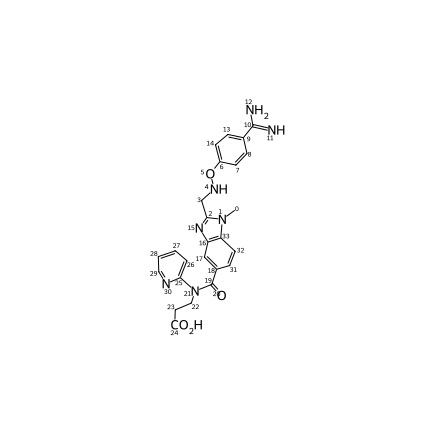 Cn1c(CNOc2ccc(C(=N)N)cc2)nc2cc(C(=O)N(CCC(=O)O)c3ccccn3)ccc21